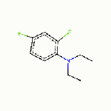 CCN(CC)c1ccc(F)cc1F